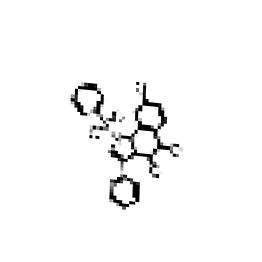 O=C1C=CC2=C(C1)C1C(C(=O)C2=O)C(c2ccccc2)=CN1S(=O)(=O)c1ccccc1